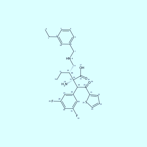 CCc1cccc(CNC[C@@H](CC)[C@@](N)(C(=O)O)C(C(=O)c2cccs2)c2cc(F)cc(F)c2)c1